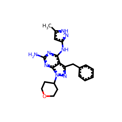 Cc1cc(Nc2nc(N)nc3c2c(Cc2ccccc2)nn3C2CCOCC2)n[nH]1